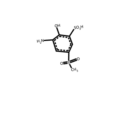 CS(=O)(=O)c1cc(N)c(O)c(S(=O)(=O)O)c1